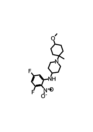 COC1CCC(C)(N2CCC(Nc3cc(F)cc(F)c3[N+](=O)[O-])CC2)CC1